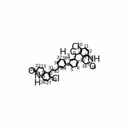 CC(c1ccccc1)c1c(Cl)ccc2c1CCC(=O)N2.O=C1CCc2c(ccc(Cl)c2/C=C/c2ccccc2)N1